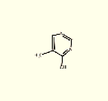 Cc1cn[c]nc1O